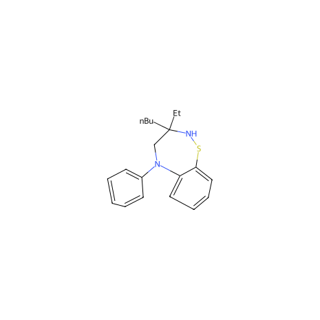 CCCCC1(CC)CN(c2ccccc2)c2ccccc2SN1